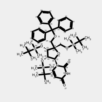 CC(C)(C)[Si](C)(C)OC[C@@]1(COC(c2ccccc2)(c2ccccc2)c2ccccc2)O[C@@H](n2ccc(=O)[nH]c2=O)[C@H](O[Si](C)(C)C(C)(C)C)[C@@H]1O[Si](C)(C)C(C)(C)C